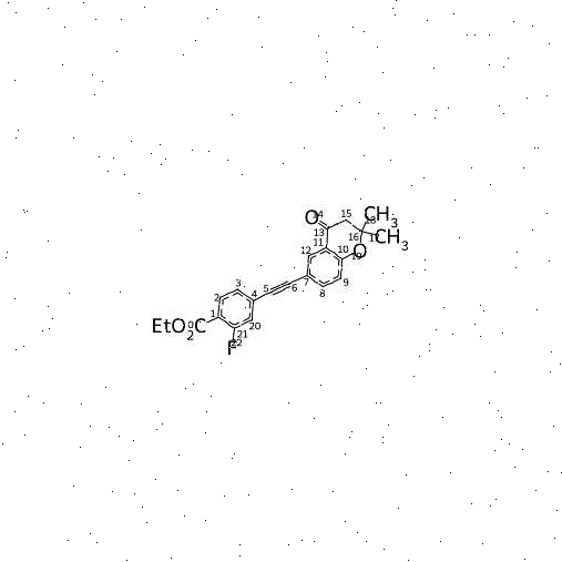 CCOC(=O)c1ccc(C#Cc2ccc3c(c2)C(=O)CC(C)(C)O3)cc1F